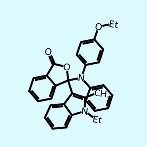 CCOc1ccc(N(c2ccccc2)C2(c3c(C)n(CC)c4ccccc34)OC(=O)c3ccccc32)cc1